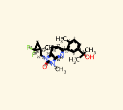 Cc1ccc(C(C)(C)O)cc1-c1ccc2c(n1)n(C)c(=O)n2C[C@]1(C)CC1(F)F